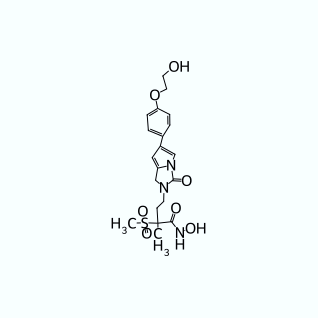 CC(CCN1Cc2cc(-c3ccc(OCCO)cc3)cn2C1=O)(C(=O)NO)S(C)(=O)=O